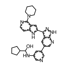 OC(Nc1cncc(-c2cnc3[nH]nc(-c4cc5c(N6CCCCC6)nccc5[nH]4)c3c2)c1)C1CCCC1